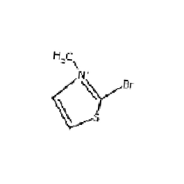 C[n+]1ccsc1Br